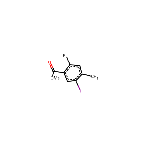 CCc1cc(C)c(I)cc1C(=O)OC